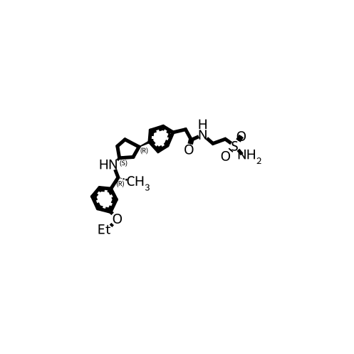 CCOc1cccc([C@@H](C)N[C@H]2CC[C@@H](c3ccc(CC(=O)NCCS(N)(=O)=O)cc3)C2)c1